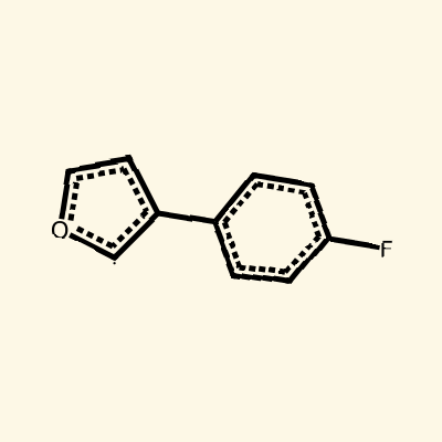 Fc1ccc(-c2[c]occ2)cc1